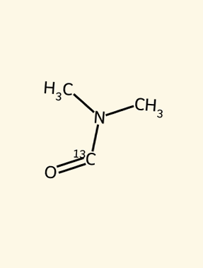 CN(C)[13CH]=O